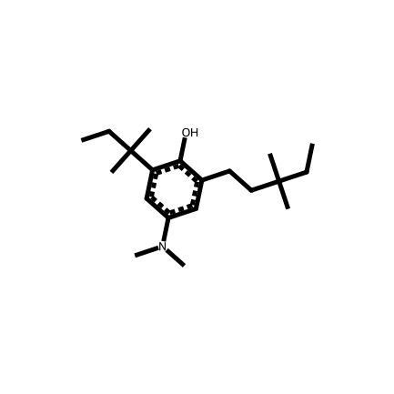 CCC(C)(C)CCc1cc(N(C)C)cc(C(C)(C)CC)c1O